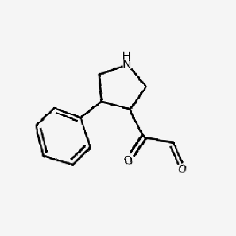 O=CC(=O)C1CNCC1c1ccccc1